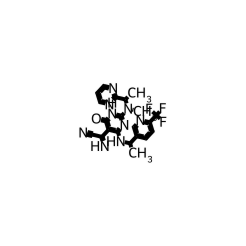 CC(Nc1nc(N(C)C(C)c2ncccn2)[nH]c(=O)c1C(=N)C#N)c1ccc(C(F)(F)F)nc1